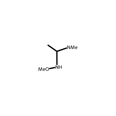 CNC(C)NOC